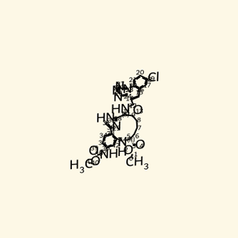 CCOC(=O)[C@H]1CCCC[C@H](NC(=O)C=Cc2cc(Cl)ccc2-n2cnnn2)c2nc(c[nH]2)-c2ccc(NC(=O)OC)cc2N1